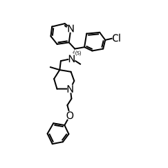 CN(CC1(C)CCN(CCOc2ccccc2)CC1)[C@@H](c1ccc(Cl)cc1)c1ccccn1